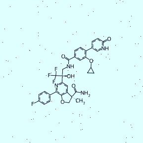 C[C@]1(C(N)=O)COc2c1cc([C@@](O)(CNC(=O)c1ccc(-c3ccc(=O)[nH]c3)c(OC3CC3)c1)C(F)(F)F)nc2-c1ccc(F)cc1